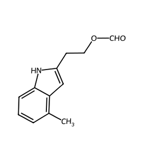 Cc1cccc2[nH]c(CCOC=O)cc12